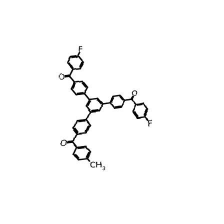 Cc1ccc(C(=O)c2ccc(-c3cc(-c4ccc(C(=O)c5ccc(F)cc5)cc4)cc(-c4ccc(C(=O)c5ccc(F)cc5)cc4)c3)cc2)cc1